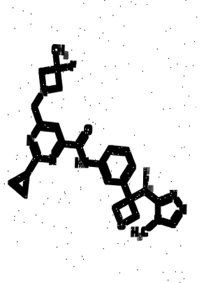 Cn1cnnc1[C@H](F)C1(c2cccc(NC(=O)c3cc(CN4CC(C)(F)C4)nc(C4CC4)n3)c2)COC1